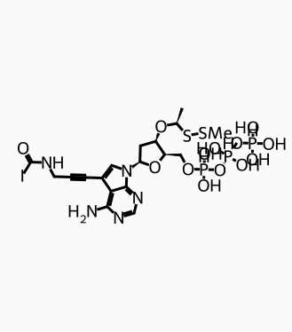 CSS[C@H](C)O[C@@H]1C[C@H](n2cc(C#CCNC(=O)I)c3c(N)ncnc32)O[C@@H]1CO[PH](O)(O)O[PH](O)(O)O[PH](O)(O)O